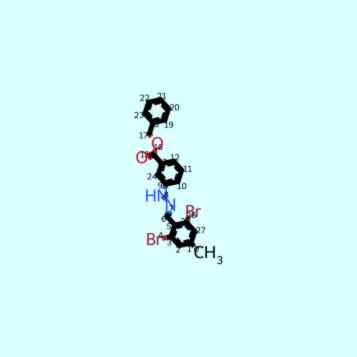 Cc1cc(Br)c(/C=N/Nc2cccc(C(=O)OCc3ccccc3)c2)c(Br)c1